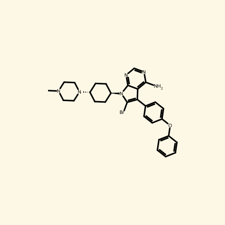 CN1CCN([C@H]2CC[C@H](n3c(Br)c(-c4ccc(Oc5ccccc5)cc4)c4c(N)ncnc43)CC2)CC1